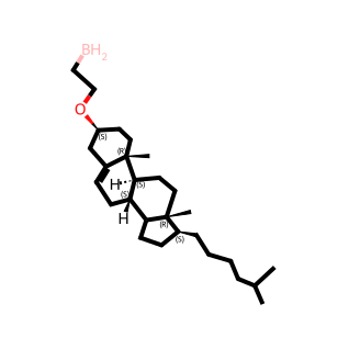 BCCO[C@H]1CC[C@@]2(C)C(=CC[C@H]3C4CC[C@H](CCCCC(C)C)[C@@]4(C)CC[C@@H]32)C1